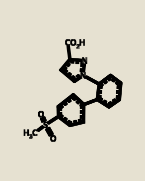 CS(=O)(=O)c1ccc(-c2ccccc2-n2ccc(C(=O)O)n2)cc1